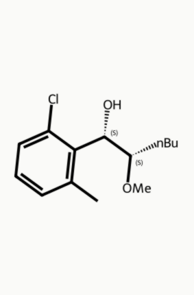 CCCC[C@H](OC)[C@@H](O)c1c(C)cccc1Cl